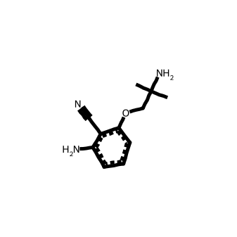 CC(C)(N)COc1cccc(N)c1C#N